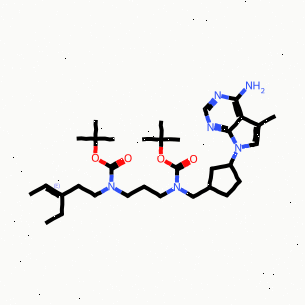 C/C=C(\CC)CCN(CCCN(CC1CCC(n2cc(C)c3c(N)ncnc32)C1)C(=O)OC(C)(C)C)C(=O)OC(C)(C)C